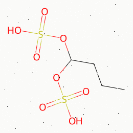 CCCC(OS(=O)(=O)O)OS(=O)(=O)O